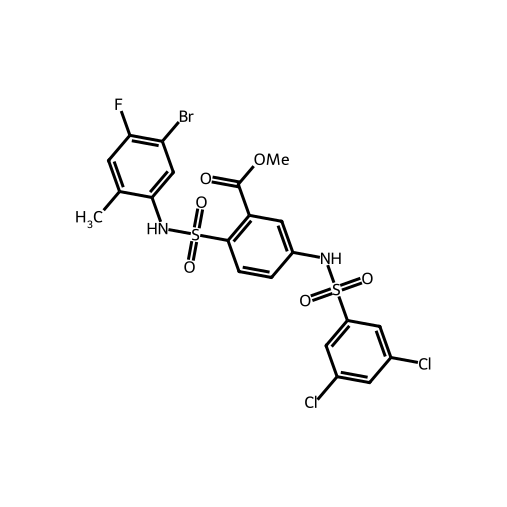 COC(=O)c1cc(NS(=O)(=O)c2cc(Cl)cc(Cl)c2)ccc1S(=O)(=O)Nc1cc(Br)c(F)cc1C